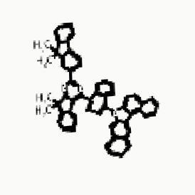 CC1(C)c2ccccc2-c2ccc(-c3nc(-c4ccc(-n5c6cc7ccccc7cc6c6c7ccccc7ccc65)c5ccccc45)c4c(n3)C(C)(C)c3ccccc3-4)cc21